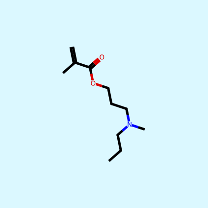 C=C(C)C(=O)OCCCN(C)CCC